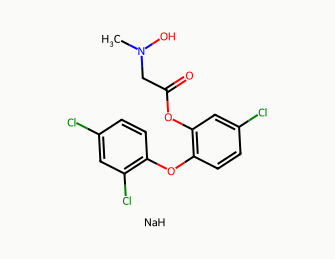 CN(O)CC(=O)Oc1cc(Cl)ccc1Oc1ccc(Cl)cc1Cl.[NaH]